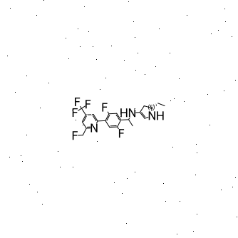 CC[C@H]1CC(NC(C)c2cc(F)c(-c3cc(C(F)(F)F)cc(CF)n3)cc2F)=CN1